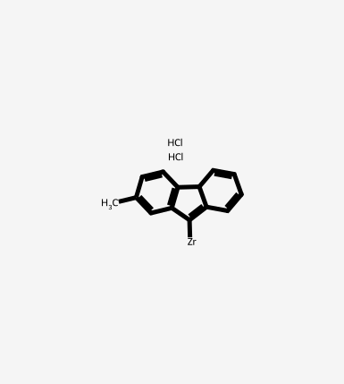 Cc1ccc2c(c1)[C]([Zr])=C1C=CC=CC12.Cl.Cl